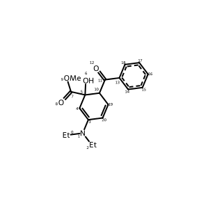 CCN(CC)C1=CC(O)(C(=O)OC)C(C(=O)c2ccccc2)C=C1